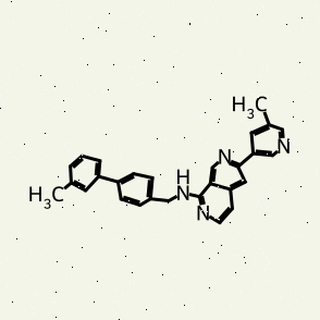 Cc1cccc(-c2ccc(CNc3nccc4cc(-c5cncc(C)c5)ncc34)cc2)c1